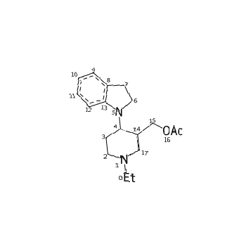 CCN1CCC(N2CCc3ccccc32)C(COC(C)=O)C1